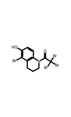 O=C(N1CCCc2c1ccc(O)c2Br)C(Br)(Br)Br